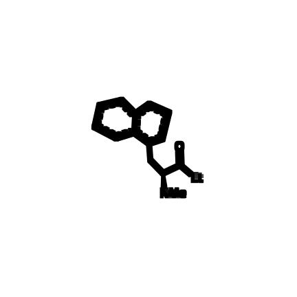 CCC(=O)[C@H](Cc1cccc2ccccc12)NC